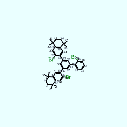 CC1(C)CCC(C)(C)c2cc(-c3cc(-c4ccccc4Br)cc(-c4cc5c(cc4Br)C(C)(C)CCC5(C)C)c3)c(Br)cc21